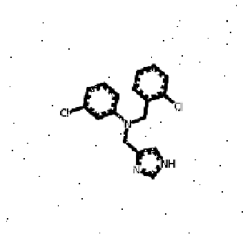 Clc1cccc(N(Cc2c[nH]cn2)Cc2ccccc2Cl)c1